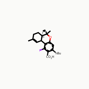 C=C[C@@]12CCC(C)=CC1c1c(cc(CCCC)c(C(=O)O)c1I)OC2(C)C